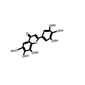 COc1cc(-c2cc(=O)c3cc(OC)c(OC)c(OC)c3o2)cc(OC)c1OC